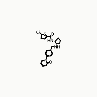 O=C(N[C@@H]1CCC[C@@H]1NCc1ccc(-n2ccccc2=O)cc1)c1ccc(Cl)s1